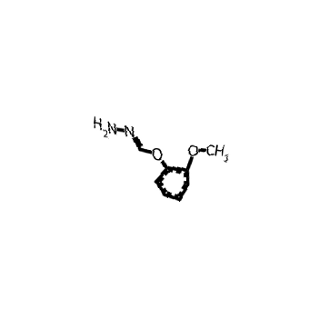 COc1ccccc1OC=NN